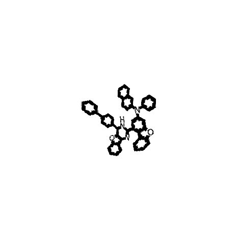 c1ccc(-c2ccc(C3NC(c4cc(N(c5ccccc5)c5ccc6ccccc6c5)cc5oc6ccccc6c45)=Nc4c3oc3ccccc43)cc2)cc1